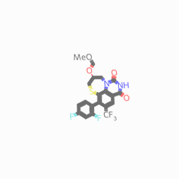 COCO[C@H]1CSc2c(-c3ccc(F)cc3F)c(C(F)(F)F)cc3c(=O)[nH]c(=O)n(c23)C1